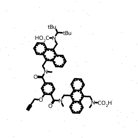 C#CCOc1cc(C(=O)N(C)Cc2c3ccccc3c(CN(C(=O)O)C(C(C)(C)C)C(C)(C)C)c3ccccc23)ccc1C(=O)N(C)Cc1c2ccccc2c(CN(C)C(=O)O)c2ccccc12